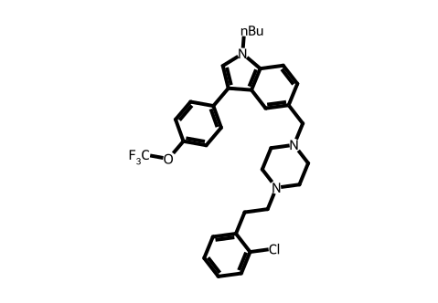 CCCCn1cc(-c2ccc(OC(F)(F)F)cc2)c2cc(CN3CCN(CCc4ccccc4Cl)CC3)ccc21